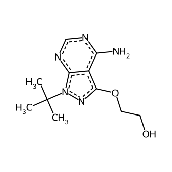 CC(C)(C)n1nc(OCCO)c2c(N)ncnc21